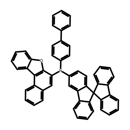 c1ccc(-c2ccc(N(c3ccc4c(c3)-c3ccccc3C43c4ccccc4-c4ccccc43)c3cc4ccccc4c4c3oc3ccccc34)cc2)cc1